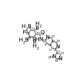 Bc1c(B)c(C(=O)Nc2cc3cc(-c4cncn4C)ncc3cn2)c(B)c(B)c1F